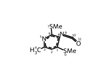 CSc1cc(C)nc(SC)c1N=C=O